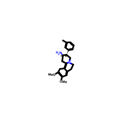 COC1=C(OC)CC2=C3C[C@@H](N)[C@H](c4cccc(C)c4)CN3CCC2=C1